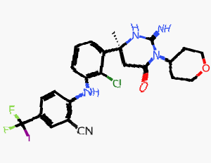 C[C@@]1(c2cccc(Nc3ccc(C(F)(F)I)cc3C#N)c2Cl)CC(=O)N(C2CCOCC2)C(=N)N1